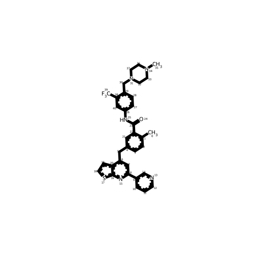 Cc1ccc(Cc2cc(-c3cccnc3)nc3sccc23)cc1C(=O)Nc1ccc(CN2CCN(C)CC2)c(C(F)(F)F)c1